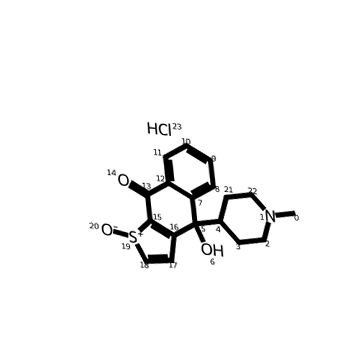 CN1CCC(C2(O)c3ccccc3C(=O)c3c2cc[s+]3[O-])CC1.Cl